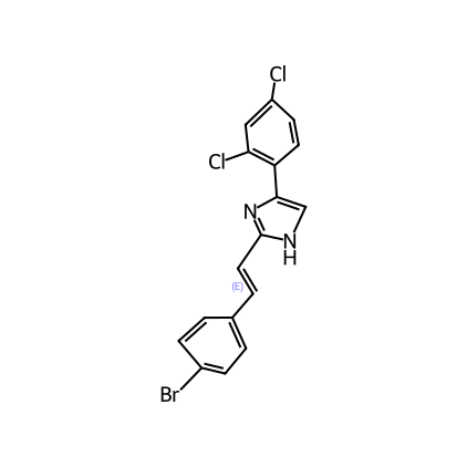 Clc1ccc(-c2c[nH]c(/C=C/c3ccc(Br)cc3)n2)c(Cl)c1